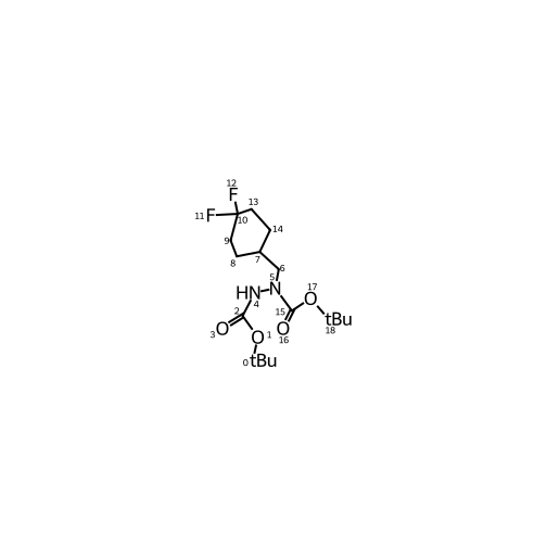 CC(C)(C)OC(=O)NN(CC1CCC(F)(F)CC1)C(=O)OC(C)(C)C